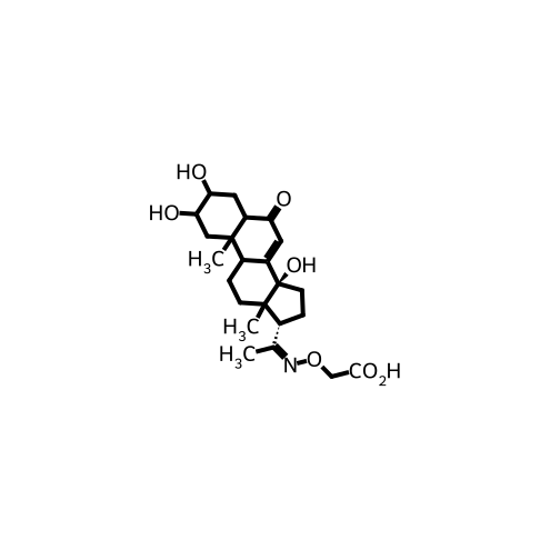 C/C(=N/OCC(=O)O)[C@H]1CC[C@@]2(O)C3=CC(=O)C4CC(O)C(O)CC4(C)C3CCC12C